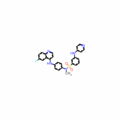 CN(c1ccc(Nc2ccnc3ccc(F)cc23)cc1)S(=O)(=O)c1cccc(Nc2ccncc2)c1